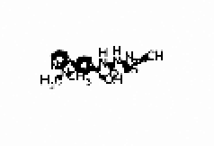 C#Cc1nc(NC(=O)N[C@@H](CO)c2ccc(-c3cccnc3N(C)C)cc2)cs1